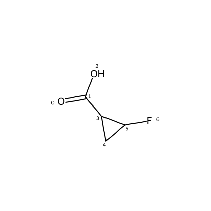 O=C(O)C1CC1F